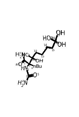 CCCCC(NC(N)=O)(C(N)=O)C(O)(O)CCCCC(O)(O)O